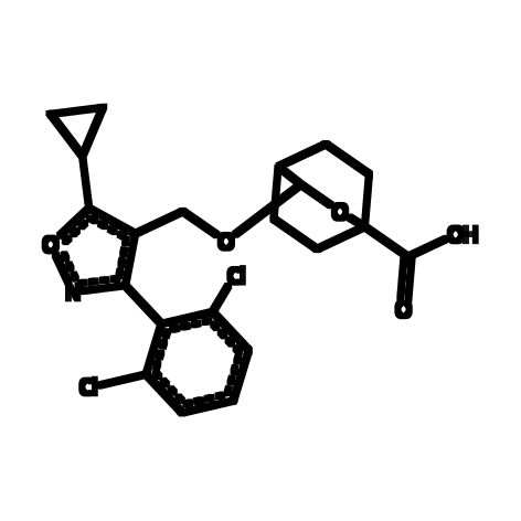 O=C(O)C12CCC(CC1)C(OCc1c(-c3c(Cl)cccc3Cl)noc1C1CC1)O2